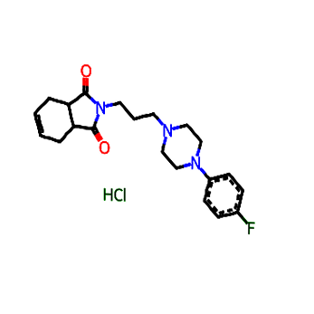 Cl.O=C1C2CC=CCC2C(=O)N1CCCN1CCN(c2ccc(F)cc2)CC1